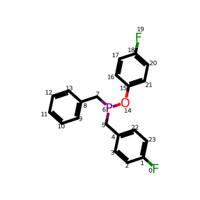 Fc1ccc(CP(Cc2ccccc2)Oc2ccc(F)cc2)cc1